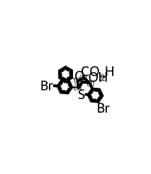 O=C(O)[C@H]1[C@@H](c2ccccc2)[C@@]2(c3ccc(Br)cc3)Sc3cc(Br)ccc3[C@@]1(O)C2=O